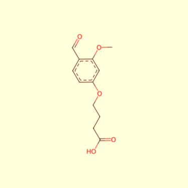 COc1cc(OCCCC(=O)O)ccc1C=O